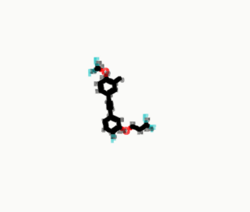 Cc1cc(C#Cc2ccc(F)c(OCCC(F)F)c2)ccc1OC(F)F